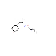 CCCCC/C=C/C(=O)NC(Cc1ccc(O)cc1)C(=O)O